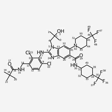 CC(C)(O)Cn1c(Nc2c(Cl)ccc(CNC(=O)C(C)(C)C)c2Cl)nc2cc(C(=O)NC3CCC(C(F)(F)F)CC3)c(N3CCC(C(F)(F)F)CC3)cc21